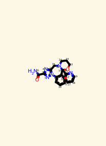 NC(=O)c1nc2n(n1)-c1ccccc1C1(c3ccccn3)OCCCN1C2